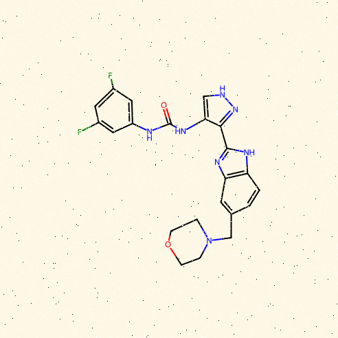 O=C(Nc1cc(F)cc(F)c1)Nc1c[nH]nc1-c1nc2cc(CN3CCOCC3)ccc2[nH]1